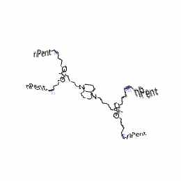 CCCCC/C=C\CCCO[Si](C)(CCCCN1CCCC2C1CCCN2CCCC[Si](C)(OCCC/C=C\CCCCC)OCCC/C=C\CCCCC)OCCC/C=C\CCCCC